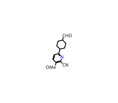 COc1ccc(C2CCC(C=O)CC2)nc1C#N